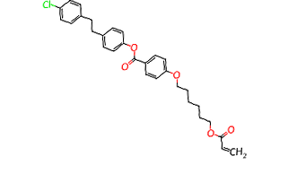 C=CC(=O)OCCCCCCOc1ccc(C(=O)Oc2ccc(CCc3ccc(Cl)cc3)cc2)cc1